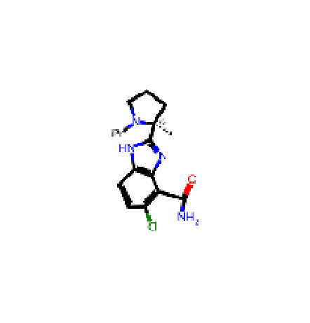 CC(C)N1CCC[C@@]1(C)c1nc2c(C(N)=O)c(Cl)ccc2[nH]1